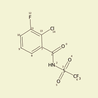 O=C(NS(=O)(=O)C(F)(F)F)c1cccc(F)c1Cl